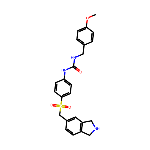 COc1ccc(CNC(=O)Nc2ccc(S(=O)(=O)Cc3ccc4c(c3)CNC4)cc2)cc1